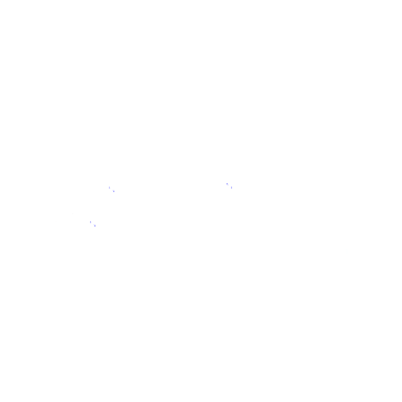 O=C1NCN(Cc2cccc(CN3CC=C(c4ccc(F)cc4)CC3)c2)c2ccccc21